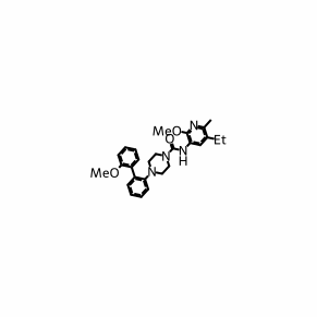 CCc1cc(NC(=O)N2CCN(c3ccccc3-c3ccccc3OC)CC2)c(OC)nc1C